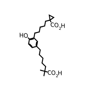 CC(C)(CCCCCc1ccc(O)c(CCCCCC2(C(=O)O)CC2)c1)C(=O)O